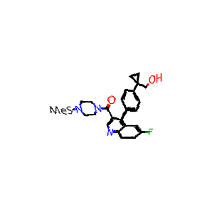 CSN1CCN(C(=O)c2cnc3ccc(F)cc3c2-c2ccc(C3(CO)CC3)cc2)CC1